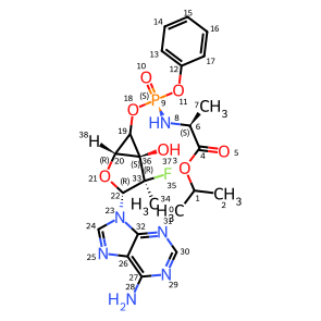 CC(C)OC(=O)[C@H](C)N[P@@](=O)(Oc1ccccc1)OC1[C@H]2O[C@@H](n3cnc4c(N)ncnc43)[C@](C)(F)[C@@]12O